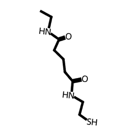 CCNC(=O)CCCC(=O)NCCS